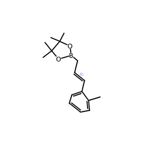 Cc1ccccc1/C=C/CB1OC(C)(C)C(C)(C)O1